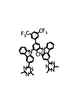 Cc1nc(C)nc(-c2ccc3c(c2)c2ccccc2n3-c2cc(-c3cc(C(F)(F)F)cc(C(F)(F)F)c3)cc(-n3c4ccccc4c4cc(-c5nc(C)nc(C)n5)ccc43)c2C#N)n1